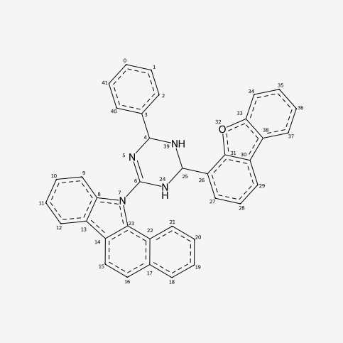 c1ccc(C2N=C(n3c4ccccc4c4ccc5ccccc5c43)NC(c3cccc4c3oc3ccccc34)N2)cc1